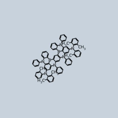 Cc1ccccc1N(c1cc2c3c(c1)N(c1ccccc1)c1cc4c(cc1B3c1ccccc1N2c1ccccc1)B1c2ccccc2N(c2ccccc2)c2cc(N(c3ccccc3C)c3c(C)cccc3C)cc(c21)N4c1ccccc1)c1c(C)cccc1C